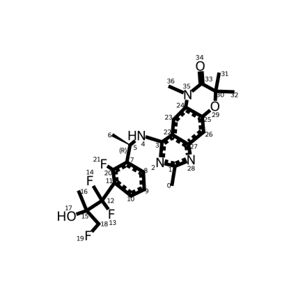 Cc1nc(N[C@H](C)c2cccc(C(F)(F)C(C)(O)CF)c2F)c2cc3c(cc2n1)OC(C)(C)C(=O)N3C